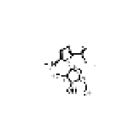 NC(=O)c1ncc(N)n1[C@@H]1O[C@H](CO)[C@@H](O)[C@H]1O